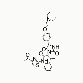 CCN(CC)CCOc1ccc(C2NC(=O)N(C(C(=O)Nc3nc(C(C)=O)cs3)C(C)c3ccccc3)C2=O)cc1